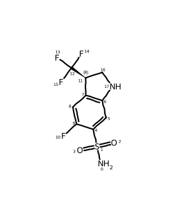 NS(=O)(=O)c1cc2c(cc1F)[C@@H](C(F)(F)F)CN2